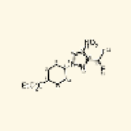 CCOC(=O)[C@H]1CC[C@H](n2cc([N+](=O)[O-])c(C(F)F)n2)CC1